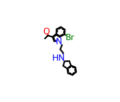 CC(=O)c1cn(CCCNC2Cc3ccccc3C2)c2c(Br)cccc12